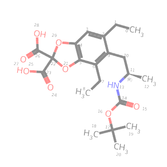 CCc1cc2c(c(CC)c1C[C@@H](C)NC(=O)OC(C)(C)C)OC(C(=O)O)(C(=O)O)O2